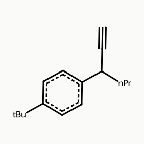 [C]#CC(CCC)c1ccc(C(C)(C)C)cc1